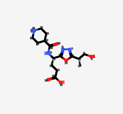 C[C@@H](CO)c1nnc([C@H](CCC(=O)O)NC(=O)C2CCNCC2)o1